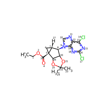 CCOC(=O)[C@@]12C[C@@H]1[C@@H](n1cnc3c(Cl)nc(Cl)nc31)C1OC(C)(C)OC12